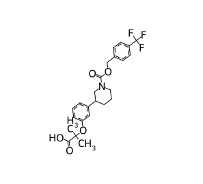 CC(C)(Oc1cccc(C2CCCN(C(=O)OCc3ccc(C(F)(F)F)cc3)C2)c1)C(=O)O